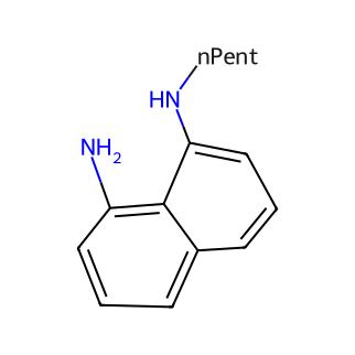 CCCCCNc1cccc2cccc(N)c12